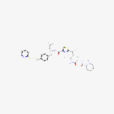 CC[C@H](C)[C@H](NC(=O)[C@H]1CCCCN1C)C(=O)N(C)[C@H](C[C@@H](OC(C)=O)c1nc(C(=O)N[C@@H](Cc2ccc(CSSc3ccccn3)cc2)C[C@H](C)C(=O)O)cs1)C(C)C